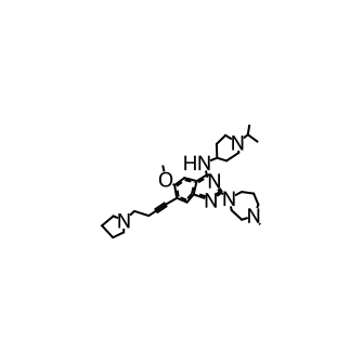 COc1cc2c(NC3CCN(C(C)C)CC3)nc(N3CCCN(C)CC3)nc2cc1C#CCCN1CCCC1